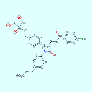 O=C(O)CCc1ccc(N2C(=O)[C@H](CCC(=O)c3ccc(F)cc3)[C@H]2c2ccc(CCC(O)(CO)CO)cc2)cc1